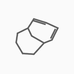 C1=CC2CCCCC(C=C1)C2